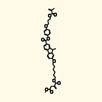 C=C(C)C(=O)OCCCOc1ccc(OC(=O)c2ccc3c(c2)C(C)c2cc(OCCCCCCOC(=O)C(=C)CC(=O)OC)ccc2-3)cc1